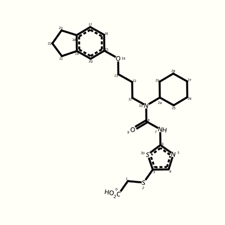 O=C(O)CSc1cnc(NC(=O)N(CCCOc2ccc3c(c2)CCC3)C2CCCCC2)s1